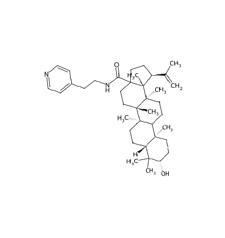 C=C(C)[C@@H]1CCC2(C(=O)NCCc3ccncc3)CC[C@@]3(C)[C@]4(C)CC[C@H]5C(C)(C)[C@@H](O)CC[C@]5(C)C4CC[C@]3(C)C12C